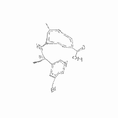 Cc1ccc(C(=O)O)cc1N[C@H](C)c1cncc(Br)c1